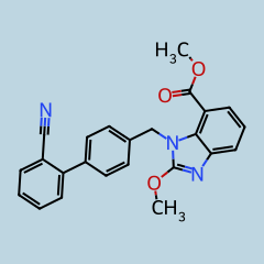 COC(=O)c1cccc2nc(OC)n(Cc3ccc(-c4ccccc4C#N)cc3)c12